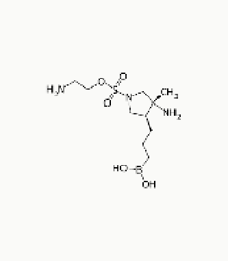 C[C@]1(N)CN(S(=O)(=O)OCCN)C[C@@H]1CCCB(O)O